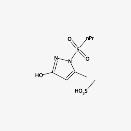 CCCS(=O)(=O)n1nc(O)cc1C.CS(=O)(=O)O